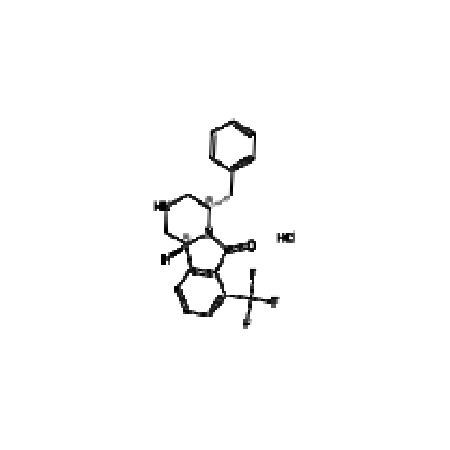 Cl.O=C1c2c(cccc2C(F)(F)F)[C@@H]2CNC[C@H](Cc3ccccc3)N12